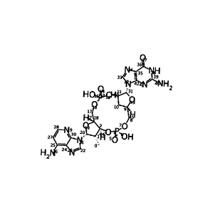 C[C@H]1[C@@H]2OP(=O)(O)OC[C@@H]3C[C@@H](OP(=O)(O)OC[C@H]2O[C@H]1n1cnc2c(N)ccnc21)[C@H](n1cnc2c(=O)[nH]c(N)nc21)O3